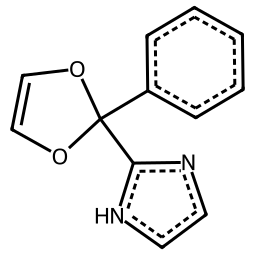 C1=COC(c2ccccc2)(c2ncc[nH]2)O1